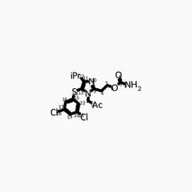 CC(=O)Cn1c(CCOC(N)=O)nc(C(C)C)c1Sc1cc(Cl)cc(Cl)c1